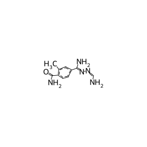 Cc1cc(/C(N)=N/N=C\N)ccc1C(N)=O